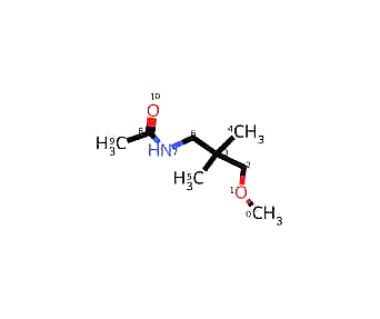 COCC(C)(C)CNC(C)=O